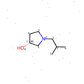 CC(C)CN1CC[C@@H](O)C1